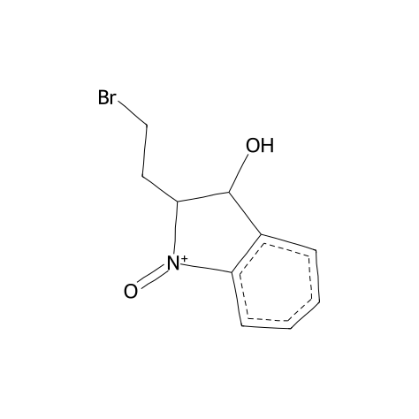 O=[N+]1c2ccccc2C(O)C1CCBr